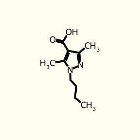 CCCCn1nc(C)c(C(=O)O)c1C